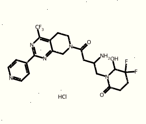 Cl.NC(CC(=O)N1CCc2c(nc(-c3ccncc3)nc2C(F)(F)F)C1)CN1C(=O)CCC(F)(F)C1O